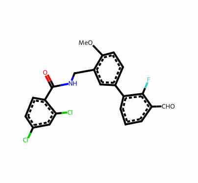 COc1ccc(-c2cccc(C=O)c2F)cc1CNC(=O)c1ccc(Cl)cc1Cl